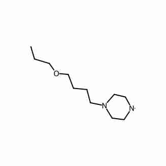 CCCOCCCCN1CC[N]CC1